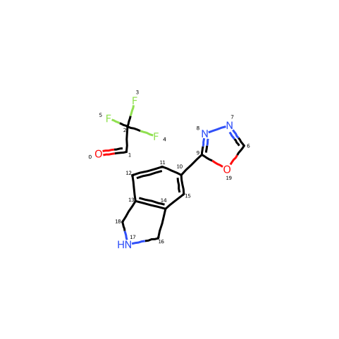 O=CC(F)(F)F.c1nnc(-c2ccc3c(c2)CNC3)o1